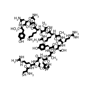 C[C@H](NC(=O)[C@H](CCCNC(=N)N)NC(=O)[C@H](CO)NC(=O)[C@H](Cc1ccc(O)cc1)NC(=O)[C@H](C)NC(=O)[C@H](Cc1cnc[nH]1)NC(=O)[C@H](CCC(=O)O)NC(=O)[C@H](CCCNC(=N)N)NC(=O)[C@@H](N)CS)C(=O)N[C@@H](CCCNC(=N)N)C(=O)N[C@H](C(=O)N[C@@H](CCCCN)C(=O)N[C@@H](CC(N)=O)C(=O)N[C@@H](CC(N)=O)C(=O)N[C@@H](Cc1ccc(O)cc1)C(=O)O)[C@@H](C)O